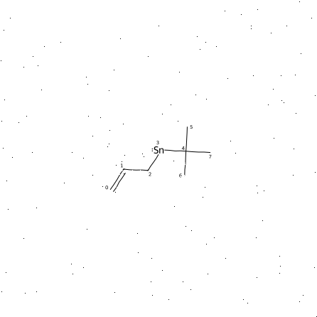 C=C[CH2][Sn][C](C)(C)C